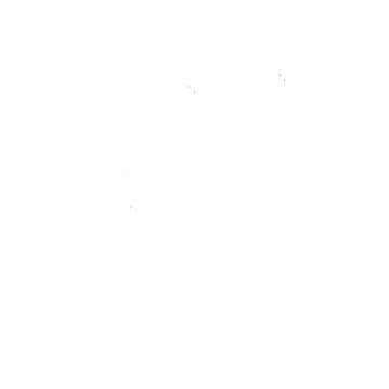 CN(C)CCN1CC[C@](O)(OC(=O)NCc2cc(F)cc(Cl)c2)C1=O